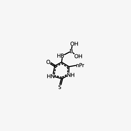 CCCc1[nH]c(=S)[nH]c(=O)c1BB(O)O